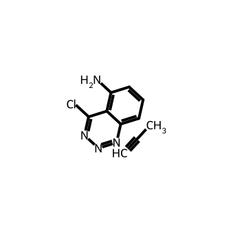 C#CC.Nc1cccc2nnnc(Cl)c12